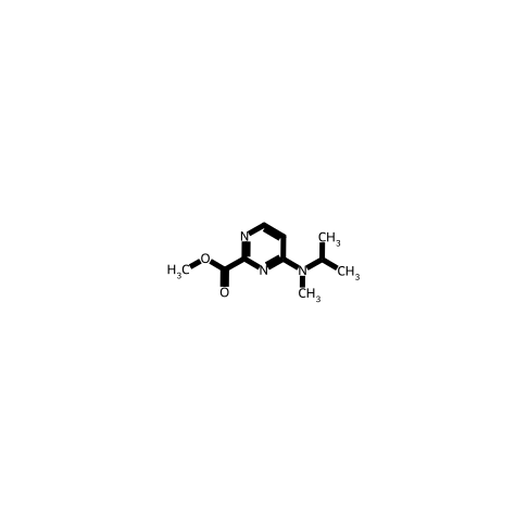 COC(=O)c1nccc(N(C)C(C)C)n1